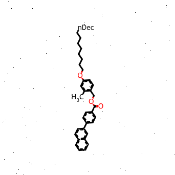 CCCCCCCCCCCCCCCCCCOc1ccc(COC(=O)c2ccc(-c3ccc4ccccc4c3)cc2)c(C)c1